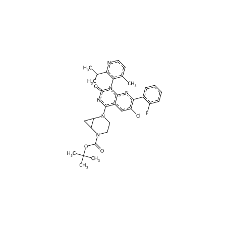 Cc1ccnc(C(C)C)c1-n1c(=O)nc(N2CCN(C(=O)OC(C)(C)C)C3CC32)c2cc(Cl)c(-c3ccccc3F)nc21